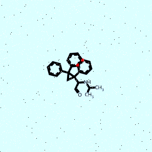 CC(C)NC(C=O)C1(c2ccccc2)CC1(c1ccccc1)c1ccccc1